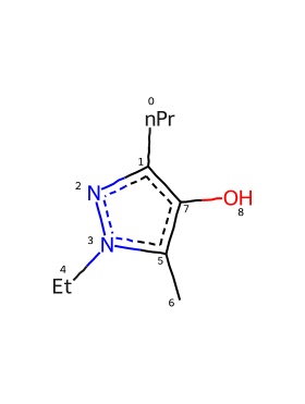 CCCc1nn(CC)c(C)c1O